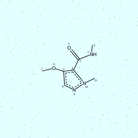 CNC(=O)c1c(OC)cnn1C